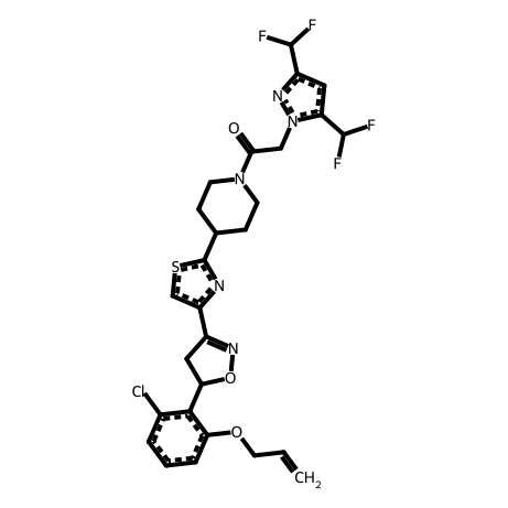 C=CCOc1cccc(Cl)c1C1CC(c2csc(C3CCN(C(=O)Cn4nc(C(F)F)cc4C(F)F)CC3)n2)=NO1